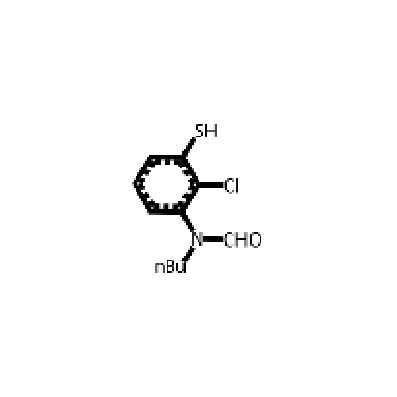 CCCCN(C=O)c1cccc(S)c1Cl